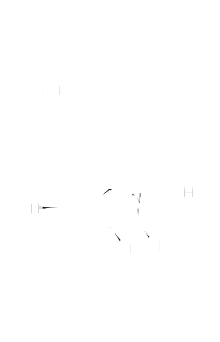 COC1=C2O[C@H]3C(=O)C=C[C@H]4[C@H]5CC(C(Br)=C1)C2[C@@]34CCN5C